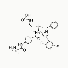 C[C@H](N)C(=O)Nc1ccc(C(=O)N(CCCNC(=O)O)[C@@H](c2cc(-c3cc(F)ccc3F)cn2Cc2ccccc2)C(C)(C)C)cc1